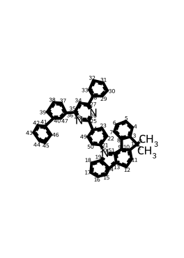 CC1(C)c2ccccc2-c2c1ccc1c3ccccc3n(-c3ccc(-c4nc(-c5ccccc5)cc(-c5cccc(-c6ccccc6)c5)n4)cc3)c21